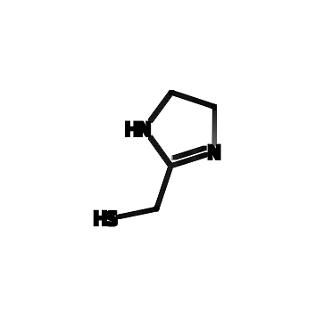 SCC1=NCCN1